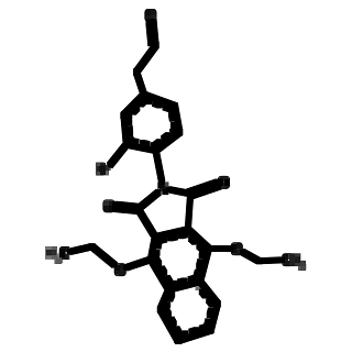 CCOc1c2c(c(OCC)c3ccccc13)C(=O)N(c1ccc(CC=O)cc1Br)C2=O